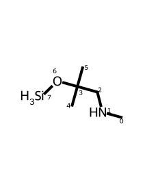 CNCC(C)(C)O[SiH3]